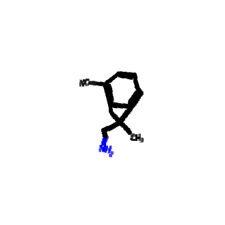 CC1(CN)c2cccc(C#N)c21